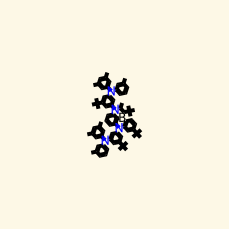 Cc1cccc(N(c2cc(C)cc(C)c2)c2cc(N3c4cc(C(C)(C)C)ccc4B4c5c3cccc5N(c3cc(N(c5cccc(C)c5)c5cc(C)cc(C)c5)cc(C(C)(C)C)c3)C(C)C4C(C)(C)C)cc(C(C)(C)C)c2)c1